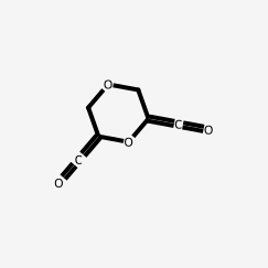 O=C=C1COCC(=C=O)O1